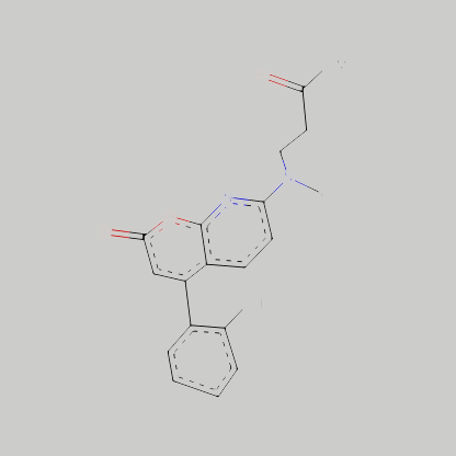 COC(=O)CCN(C)c1ccc2c(-c3ccccc3C)cc(=O)oc2n1